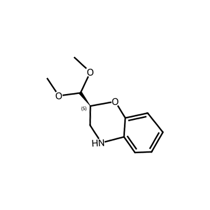 COC(OC)[C@@H]1CNc2ccccc2O1